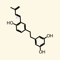 C=C(C)/C=C/c1cc(CCc2cc(O)cc(O)c2)ccc1O